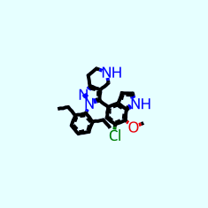 CCc1cccc(CC)c1-n1nc2c(c1-c1cc(Cl)c(OC)c3[nH]ccc13)CNCC2